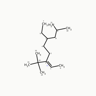 C/C=C(\CCC(CC)CC(C)N)C(C)(C)C